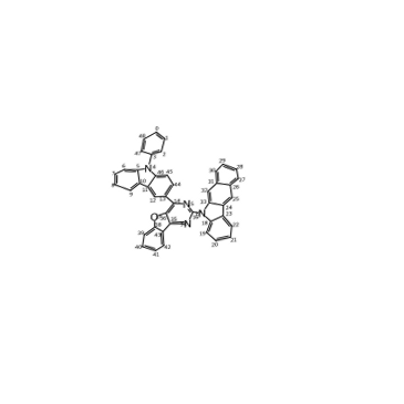 c1ccc(-n2c3ccccc3c3cc(-c4nc(-n5c6ccccc6c6cc7ccccc7cc65)nc5c4oc4ccccc45)ccc32)cc1